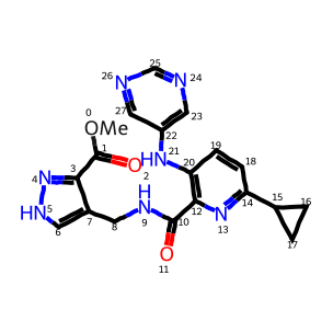 COC(=O)c1n[nH]cc1CNC(=O)c1nc(C2CC2)ccc1Nc1cncnc1